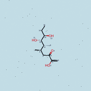 C=C(O)C(=O)C[C@@H](C)[C@@H](C)[C@H](O)[C@H](O)CC